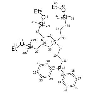 CCO[Si](C)(C)CCC[Si](CCCP(c1ccccc1)c1ccccc1)(CCC[Si](C)(C)OCC)CCC[Si](C)(C)OCC